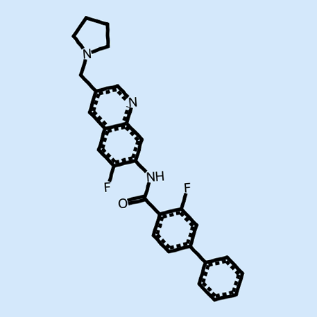 O=C(Nc1cc2ncc(CN3CCCC3)cc2cc1F)c1ccc(-c2ccccc2)cc1F